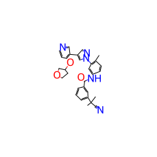 Cc1ccc(NC(=O)c2cccc(C(C)(C)C#N)c2)cc1-n1cc(-c2cnccc2OC2CCOC2)cn1